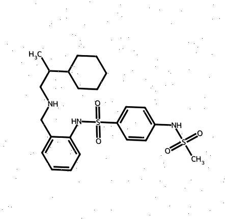 CC(CNCc1ccccc1NS(=O)(=O)c1ccc(NS(C)(=O)=O)cc1)C1CCCCC1